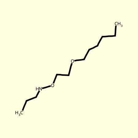 CCCCCCOCCONCCC